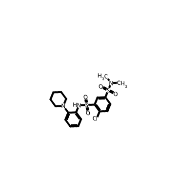 CN(C)S(=O)(=O)c1ccc(Cl)c(S(=O)(=O)Nc2ccccc2N2CCCCC2)c1